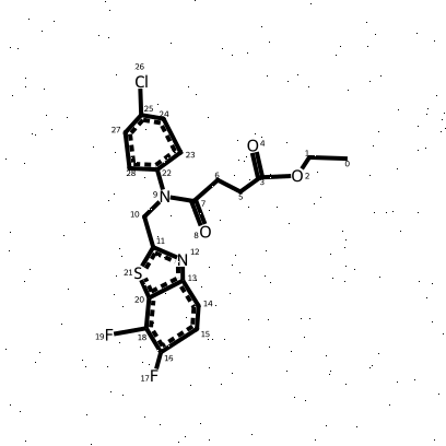 CCOC(=O)CCC(=O)N(Cc1nc2ccc(F)c(F)c2s1)c1ccc(Cl)cc1